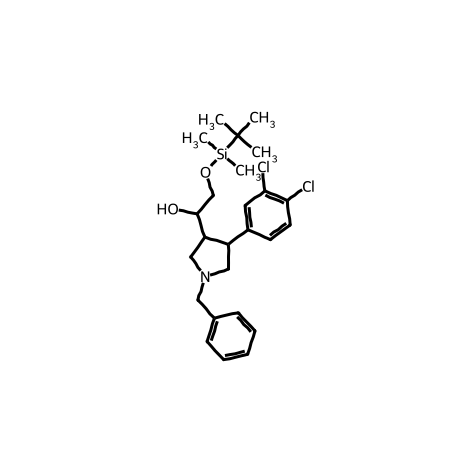 CC(C)(C)[Si](C)(C)OCC(O)C1CN(Cc2ccccc2)CC1c1ccc(Cl)c(Cl)c1